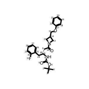 CC(C)(C)OC(=O)N[C@@H](CC(=O)N1CC(COc2ccccc2)C1)Cc1ccccc1F